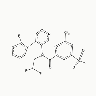 CS(=O)(=O)c1cc(C(=O)N(CC(F)F)c2cnccc2-c2ccccc2F)cc(C(F)(F)F)c1